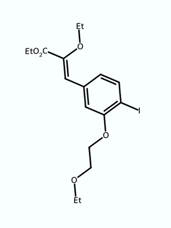 CCOCCOc1cc(C=C(OCC)C(=O)OCC)ccc1I